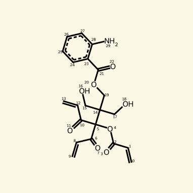 C=CC(=O)OC(C(=O)C=C)(C(=O)C=C)C(CO)(CO)COC(=O)c1ccccc1N